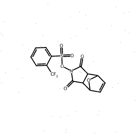 O=C1C2C3C=CC(O3)C2C(=O)N1OS(=O)(=O)c1ccccc1C(F)(F)F